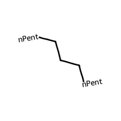 [CH2]CCCCCCCC[CH]CCC